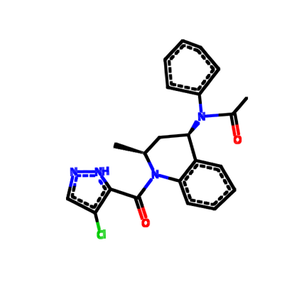 CC(=O)N(c1ccccc1)[C@@H]1C[C@H](C)N(C(=O)c2[nH]ncc2Cl)c2ccccc21